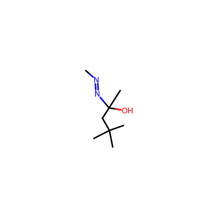 CN=NC(C)(O)CC(C)(C)C